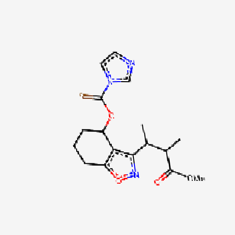 COC(=O)C(C)C(C)c1noc2c1C(OC(=S)n1ccnc1)CCC2